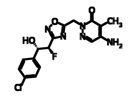 Cc1c(N)cnn(Cc2nc([C@@H](F)[C@@H](O)c3ccc(Cl)cc3)no2)c1=O